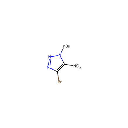 CCCCn1nnc(Br)c1[N+](=O)[O-]